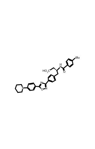 CC(C)(C)c1ccc(C(=O)N[C@H](CC(=O)O)Cc2ccc(-c3noc(-c4ccc(N5CCCCC5)cc4)n3)cc2)cc1